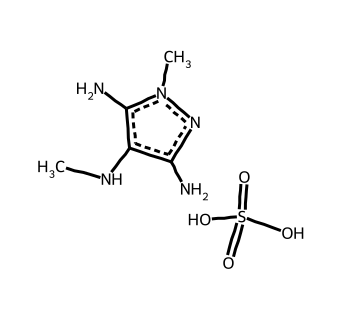 CNc1c(N)nn(C)c1N.O=S(=O)(O)O